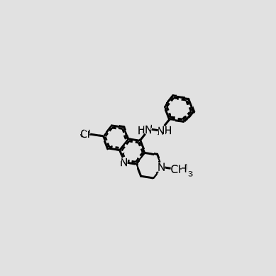 CN1CCc2nc3cc(Cl)ccc3c(NNc3ccccc3)c2C1